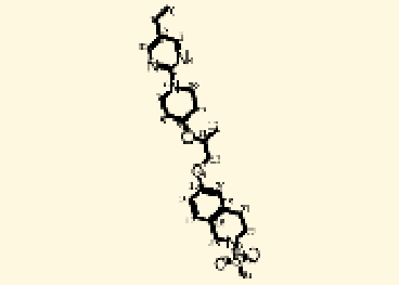 CCc1cnc(N2CCC(OC(C)COc3ccc4c(c3)CCN(S(C)(=O)=O)C4)CC2)nc1